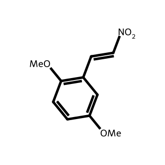 COc1ccc(OC)c(/C=C/[N+](=O)[O-])c1